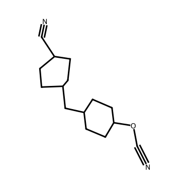 N#COC1CCC(CC2CCC(C#N)CC2)CC1